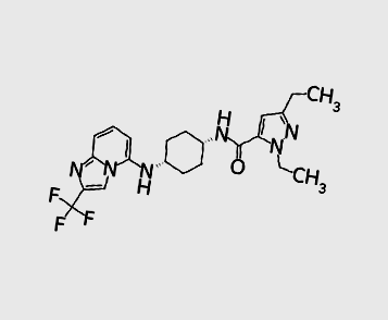 CCc1cc(C(=O)N[C@H]2CC[C@@H](Nc3cccc4nc(C(F)(F)F)cn34)CC2)n(CC)n1